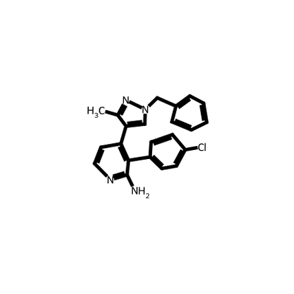 Cc1nn(Cc2ccccc2)cc1-c1ccnc(N)c1-c1ccc(Cl)cc1